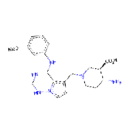 COc1cccc(NC2NCNn3ccc(CN4CC[C@@H](N)[C@H](C(=O)O)C4)c32)c1